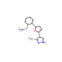 NCc1ccccc1-c1ccc(-c2c[nH]nc2C(F)(F)F)o1